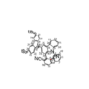 Cc1cccc(C)c1-n1c2ccccc2c2cc(-n3c4ccc(C(C)(C)C)cc4c4cc(C(C)(C)C)ccc43)cc(-c3c(C#N)cccc3C#N)c21